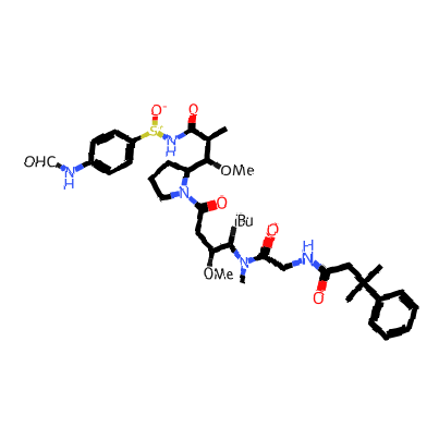 CCC(C)C(C(CC(=O)N1CCCC1C(OC)C(C)C(=O)N[S+]([O-])c1ccc(NC=O)cc1)OC)N(C)C(=O)CNC(=O)CC(C)(C)c1ccccc1